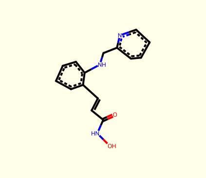 O=C(/C=C/c1ccccc1NCc1ccccn1)NO